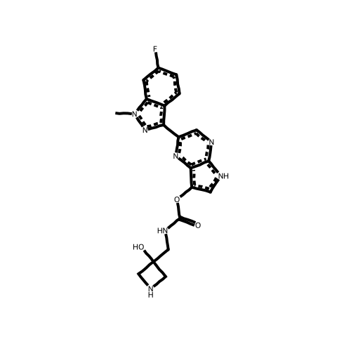 Cn1nc(-c2cnc3[nH]cc(OC(=O)NCC4(O)CNC4)c3n2)c2ccc(F)cc21